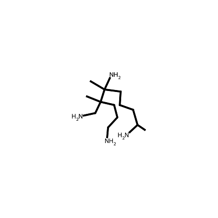 CC(N)CCCC(C)(N)C(C)(CN)CCCN